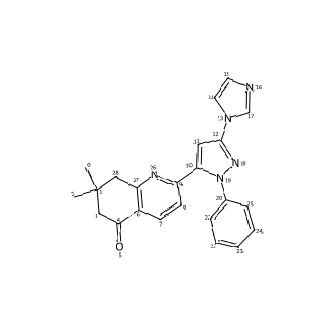 CC1(C)CC(=O)c2ccc(-c3cc(-n4ccnc4)nn3-c3ccccc3)nc2C1